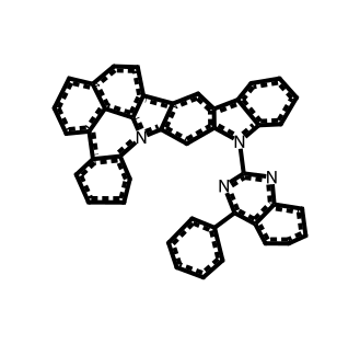 c1ccc(-c2nc(-n3c4ccccc4c4cc5c6ccc7cccc8c9ccccc9n(c5cc43)c6c78)nc3ccccc23)cc1